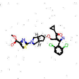 COC(=O)c1csc(N2C[C@H]3C[C@H](OCc4c(-c5c(Cl)cccc5Cl)noc4C4CC4)C[C@H]3C2)n1